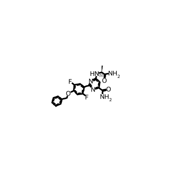 C[C@H](Nc1cc(C(N)=O)nc(-c2cc(F)c(OCc3ccccc3)cc2F)n1)C(N)=O